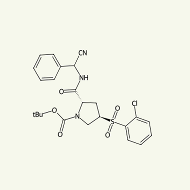 CC(C)(C)OC(=O)N1C[C@H](S(=O)(=O)c2ccccc2Cl)C[C@H]1C(=O)NC(C#N)c1ccccc1